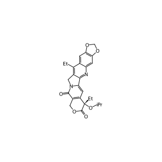 CCc1c2c(nc3cc4c(cc13)OCO4)-c1cc3c(c(=O)n1C2)COC(=O)[C@@]3(CC)OC(C)C